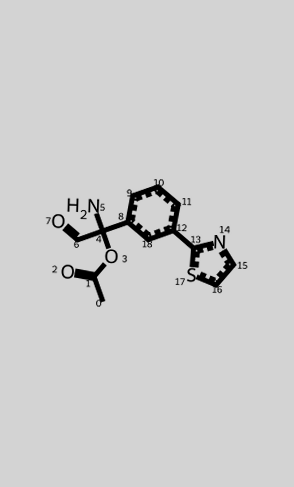 CC(=O)OC(N)(C=O)c1cccc(-c2nccs2)c1